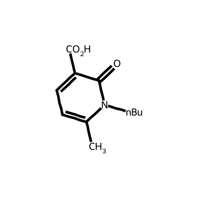 CCCCn1c(C)ccc(C(=O)O)c1=O